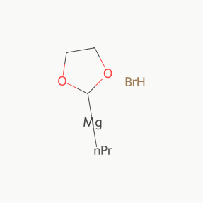 Br.CC[CH2][Mg][CH]1OCCO1